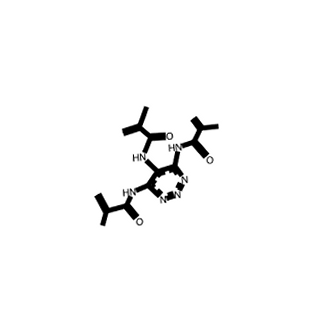 C=C(C)C(=O)Nc1nnnc(NC(=O)C(=C)C)c1NC(=O)C(=C)C